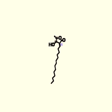 CCCCCCCCCCCCC/C=C1/C(=O)O[C@H](C)[C@@H]1O